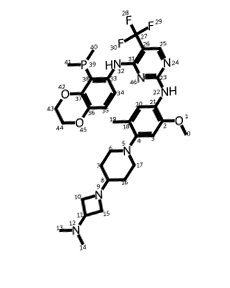 COc1cc(N2CCC(N3CC(N(C)C)C3)CC2)c(C)cc1Nc1ncc(C(F)(F)F)c(Nc2ccc3c(c2P(C)C)OCCO3)n1